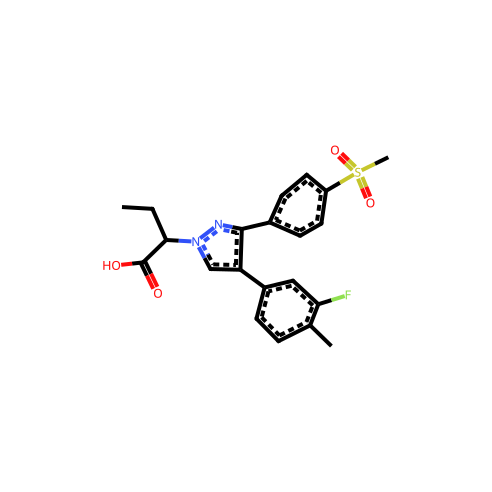 CCC(C(=O)O)n1cc(-c2ccc(C)c(F)c2)c(-c2ccc(S(C)(=O)=O)cc2)n1